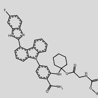 CC(C)(C)OC(=O)NCC(=O)OC1(Nc2cc(-n3c4ccccc4c4c(-c5nc6ccc(F)cc6[nH]5)cccc43)ccc2C(N)=O)CCCCC1